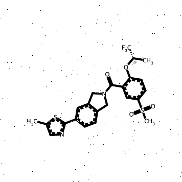 Cc1cnc(-c2ccc3c(c2)CN(C(=O)c2cc(S(C)(=O)=O)ccc2O[C@@H](C)C(F)(F)F)C3)s1